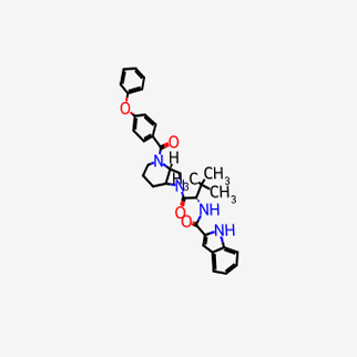 CC(C)(C)[C@H](NC(=O)c1cc2ccccc2[nH]1)C(=O)N1C[C@@H]2C1CCCN2C(=O)c1ccc(Oc2ccccc2)cc1